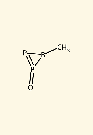 CB1P=P1=O